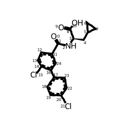 O=C(N[C@H](CC1CC1)C(=O)O)c1ccc(Cl)c(-c2ccc(Cl)cc2)c1